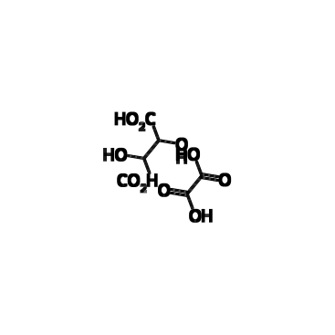 O=C(O)C(=O)O.O=C(O)C(O)C(O)C(=O)O